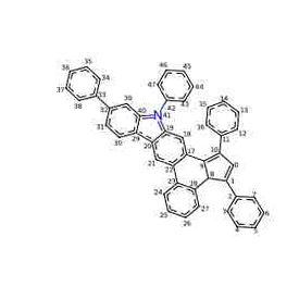 C1=C(c2ccccc2)C2C(=C1c1ccccc1)c1cc3c(cc1-c1ccccc12)c1ccc(-c2ccccc2)cc1n3-c1ccccc1